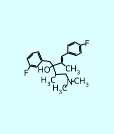 CC(=Cc1ccc(F)cc1)C(O)(Cc1cccc(F)c1)C(C)CN(C)C